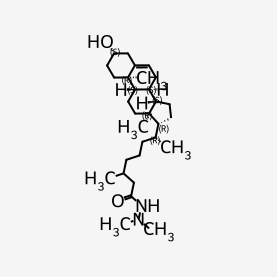 CC(CCC[C@@H](C)[C@H]1CC[C@H]2[C@@H]3CC=C4C[C@@H](O)CC[C@]4(C)[C@H]3CC[C@]12C)CC(=O)NN(C)C